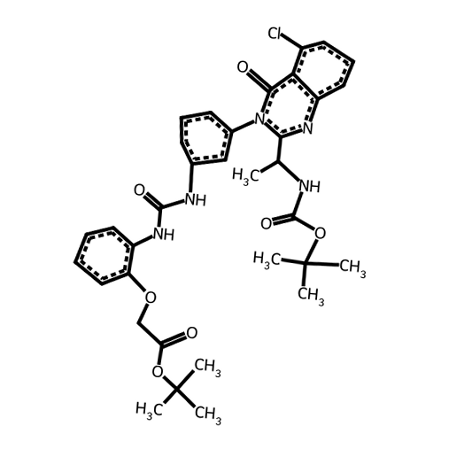 CC(NC(=O)OC(C)(C)C)c1nc2cccc(Cl)c2c(=O)n1-c1cccc(NC(=O)Nc2ccccc2OCC(=O)OC(C)(C)C)c1